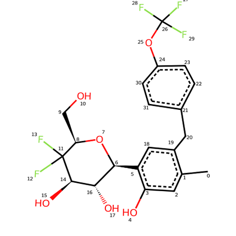 Cc1cc(O)c([C@@H]2O[C@H](CO)C(F)(F)[C@H](O)[C@H]2O)cc1Cc1ccc(OC(F)(F)F)cc1